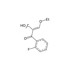 CCOC=C(C(=O)O)C(=O)c1ccccc1F